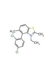 CC[n+]1c(C)sc2ccc(C)c(-c3ccc(Cl)cc3Cl)c21